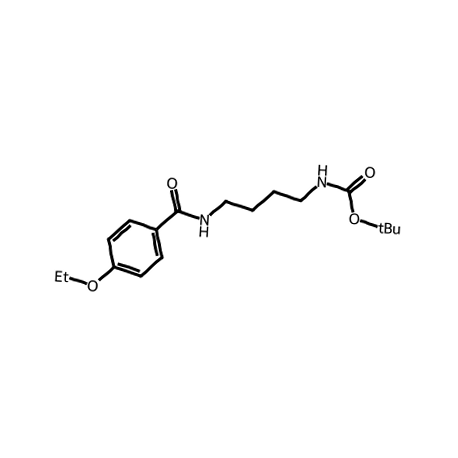 CCOc1ccc(C(=O)NCCCCNC(=O)OC(C)(C)C)cc1